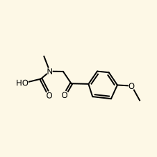 COc1ccc(C(=O)CN(C)C(=O)O)cc1